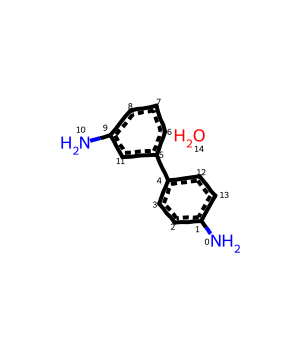 Nc1ccc(-c2cccc(N)c2)cc1.O